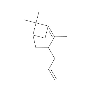 C=CCC1CC2CC(=C1C)C2(C)C